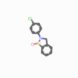 [O-][S+]1c2ccccc2CN1c1ccc(Cl)cc1